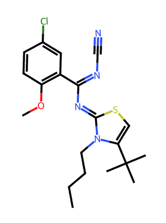 CCCCn1c(C(C)(C)C)cs/c1=N\C(=N\C#N)c1cc(Cl)ccc1OC